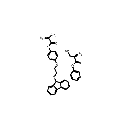 C=C(C)C(=O)Oc1ccc(OCCOC2c3ccccc3-c3ccccc32)cc1.C=C(CO)C(=O)Oc1ccccc1